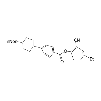 CCCCCCCCCC1CCC(c2ccc(C(=O)Oc3ccc(CC)cc3C#N)cc2)CC1